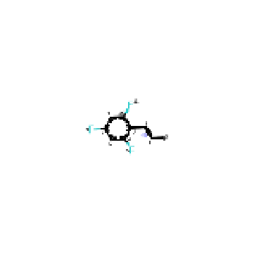 [CH2]/C=C/c1c(F)cc(F)cc1F